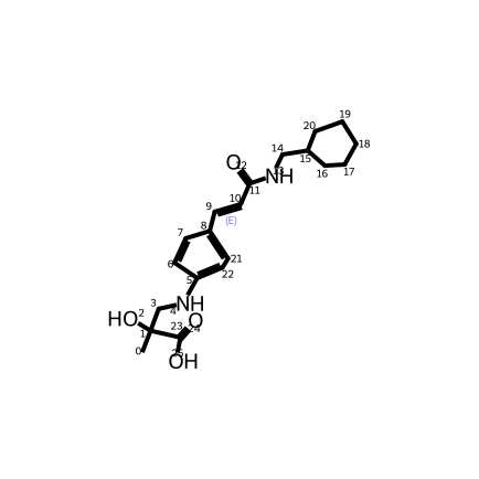 CC(O)(CNc1ccc(/C=C/C(=O)NCC2CCCCC2)cc1)C(=O)O